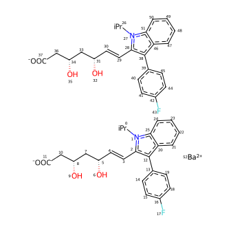 CC(C)n1c(/C=C/[C@H](O)C[C@H](O)CC(=O)[O-])c(-c2ccc(F)cc2)c2ccccc21.CC(C)n1c(/C=C/[C@H](O)C[C@H](O)CC(=O)[O-])c(-c2ccc(F)cc2)c2ccccc21.[Ba+2]